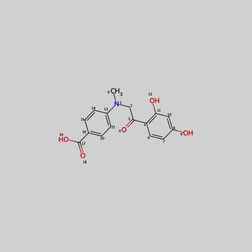 CN(CC(=O)c1ccc(O)cc1O)c1ccc(C(=O)O)cc1